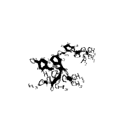 CCOC(=O)C(C)(C)Cc1c(SC(C)(C)C)c2cc(OC[C@@H]3CCCN3C(=O)OC(C)(C)C)ccc2n1Cc1ccc(Cl)cc1